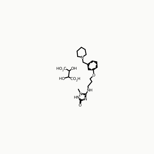 Cn1[nH]c(=O)nc1NCCCOc1cccc(CN2CCCCC2)c1.O=C(O)C(O)C(O)C(=O)O